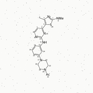 CNc1nc(C)c(-c2ccnc(Nc3cccc(N4CCN(C(C)=O)CC4)c3)n2)s1